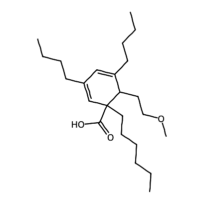 CCCCCCC1(C(=O)O)C=C(CCCC)C=C(CCCC)C1CCOC